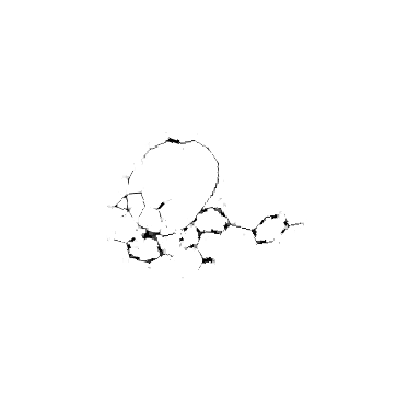 CC(=O)c1nn2c3c(cc(-c4cnc(C)nc4)cc13)CCCCC/C=C/COC[C@@]13C[C@@H](C(=O)Nc4nc(Br)ccc4C)N(C(=O)C2)[C@@H]1C3